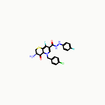 N[C@H]1CSC2=C(F)C(C(=O)NNc3ccc(F)cc3)=CN(Cc3ccc(Cl)cc3)C2C1=O